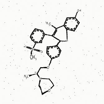 CC1=C(c2cccc(S(C)(=O)=O)c2)C(c2ccc(OC[C@H](C)N3CCOCC3)cc2)Oc2ccc(O)cc21